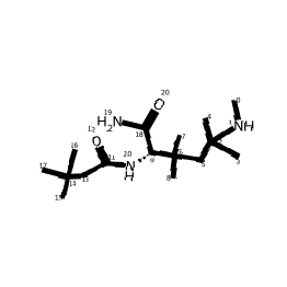 CNC(C)(C)CC(C)(C)[C@H](NC(=O)CC(C)(C)C)C(N)=O